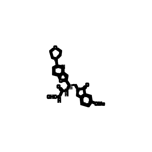 COc1ccc2c(c1)C(=O)N(C[C@H](NC(=O)NC=O)c1cc3nc(N4CCOCC4)ccc3o1)C2